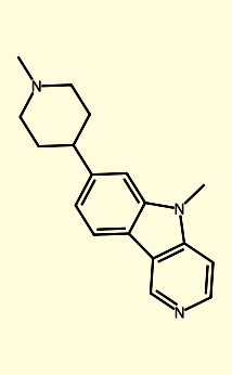 CN1CCC(c2ccc3c4cnccc4n(C)c3c2)CC1